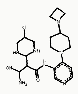 NC(N=O)C(C(=O)Nc1cnccc1N1CCC(N2CCC2)CC1)C1NCC(Cl)CN1